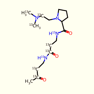 C[13C](=O)[13CH2]C[15NH][13C](=O)[13CH2]C[15NH]C(=O)C1CCCN1C[13CH2]N([13CH3])[13CH3]